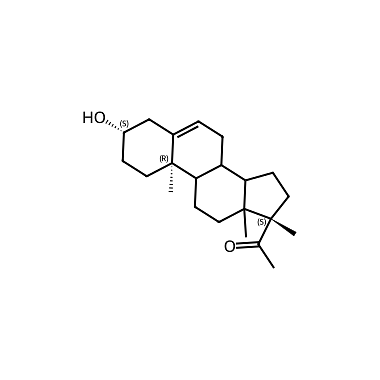 CC(=O)[C@@]1(C)CCC2C3CC=C4C[C@@H](O)CC[C@]4(C)C3CCC21C